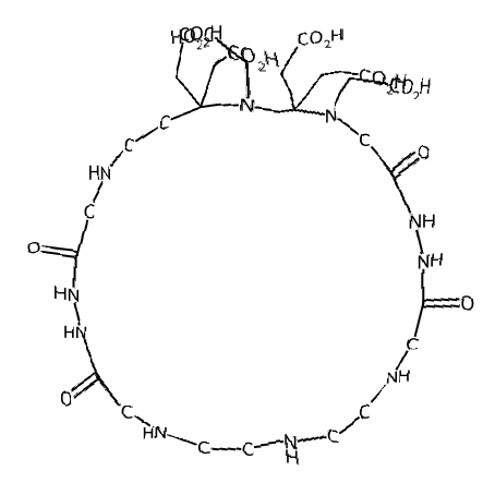 O=C(O)CN1CC(=O)NNC(=O)CNCCNCCNCC(=O)NNC(=O)CNCCC(CC(=O)O)(CC(=O)O)N(CC(=O)O)C1(CC(=O)O)CC(=O)O